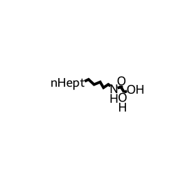 CCCCCCCCCCCCNC(=O)C(O)O